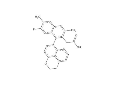 Cc1cc2cc(C)c(CC(=O)O)c(-c3ccc4c5c(ccnc35)CCO4)c2cc1F